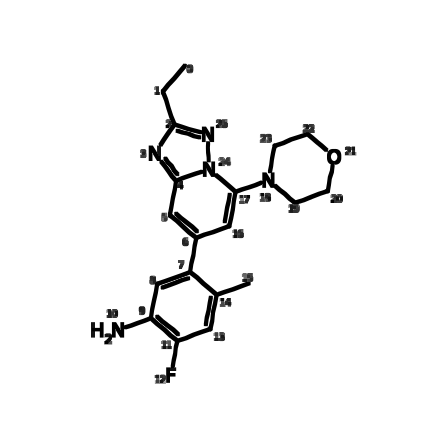 CCc1nc2cc(-c3cc(N)c(F)cc3C)cc(N3CCOCC3)n2n1